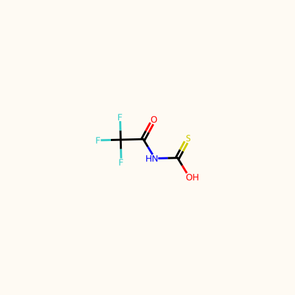 O=C(NC(O)=S)C(F)(F)F